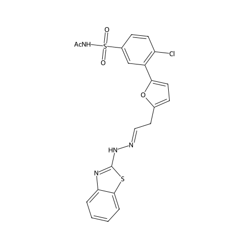 CC(=O)NS(=O)(=O)c1ccc(Cl)c(-c2ccc(CC=NNc3nc4ccccc4s3)o2)c1